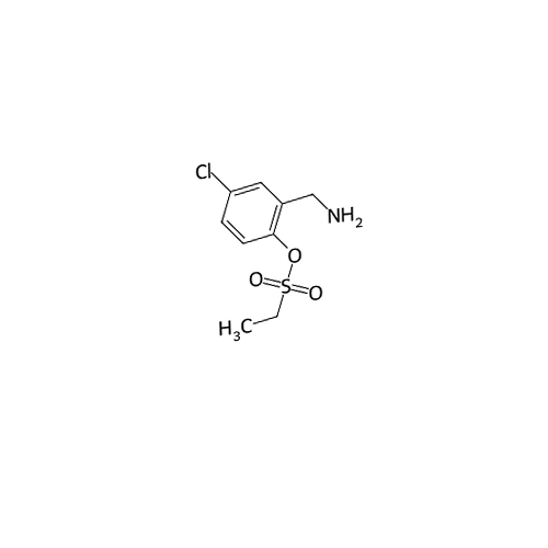 CCS(=O)(=O)Oc1ccc(Cl)cc1CN